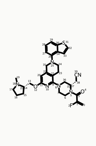 C=C(F)C(=O)N1CCN(c2nc(OC[C@@H]3CCCN3C)cc3c2CCN(c2cccc4sccc24)C3)C[C@@H]1CC#N